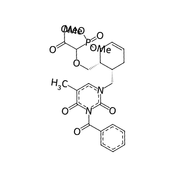 COC(=O)C(OC[C@@H]1CC=CC[C@@H]1Cn1cc(C)c(=O)n(C(=O)c2ccccc2)c1=O)P(=O)(OC)OC